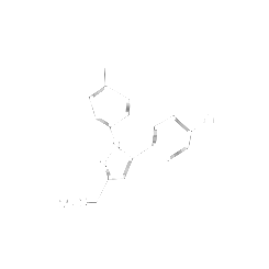 CNCc1cc(-c2ccc(Cl)cc2)n(-c2ccc(C)cc2)n1